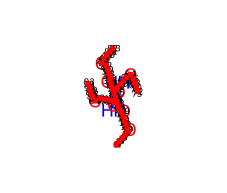 CCCCCCCCC1OC1CCCCCCCC(=O)NCCCN(CCCCN(CCCNC(=O)CCCCCCCC1OC1CCCCCCCC)C(=O)CCCCCCCC1OC1CCCCCCCC)C(=O)CCCCCCCC1OC1CCCCCCCC